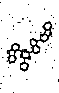 c1ccc(-c2nc(-c3cccc4c(-c5ccc6sc7ccccc7c6c5)cccc34)nc(-c3cccc4oc5ccccc5c34)n2)cc1